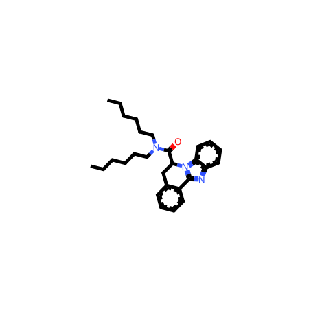 CCCCCCN(CCCCCC)C(=O)C1Cc2ccccc2-c2nc3ccccc3n21